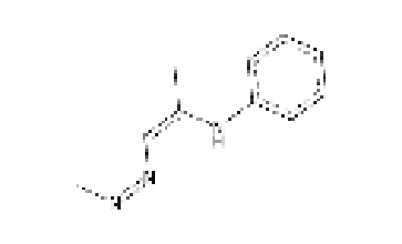 C/N=N\C=C(\C)Nc1ccccc1